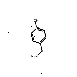 CNCc1cc[n+](O)cc1